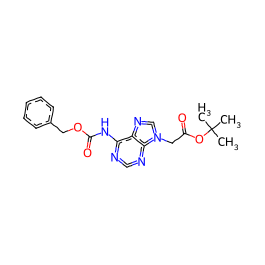 CC(C)(C)OC(=O)Cn1cnc2c(NC(=O)OCc3ccccc3)ncnc21